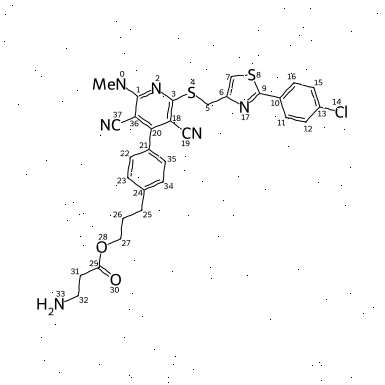 CNc1nc(SCc2csc(-c3ccc(Cl)cc3)n2)c(C#N)c(-c2ccc(CCCOC(=O)CCN)cc2)c1C#N